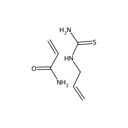 C=CC(N)=O.C=CCNC(N)=S